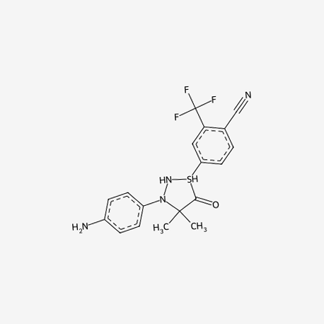 CC1(C)C(=O)[SH](c2ccc(C#N)c(C(F)(F)F)c2)NN1c1ccc(N)cc1